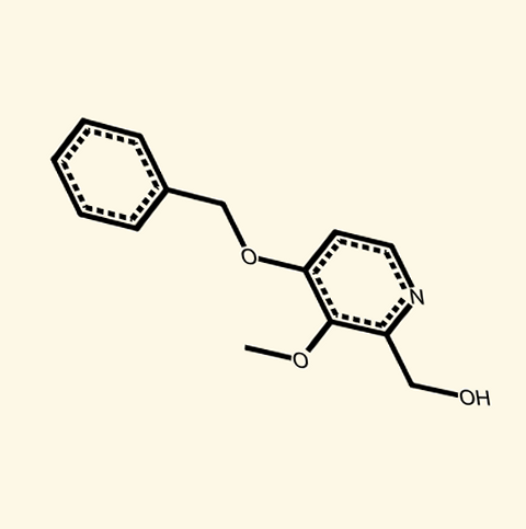 COc1c(OCc2ccccc2)ccnc1CO